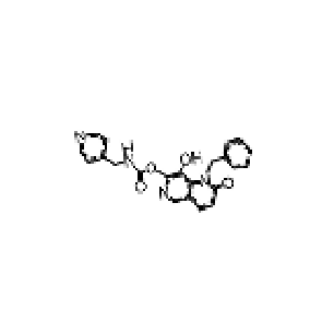 O=C(NCc1ccncc1)Oc1ncc2ccc(=O)n(Cc3ccccc3)c2c1O